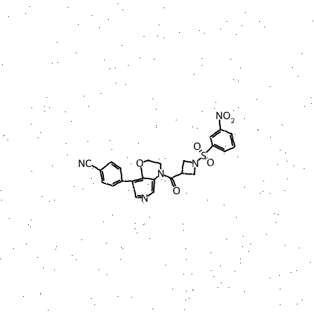 N#Cc1ccc(-c2cncc3c2OCCN3C(=O)C2CN(S(=O)(=O)c3cccc([N+](=O)[O-])c3)C2)cc1